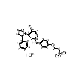 CCN(CC)CCOc1ccc(Nc2ncc(F)c(N3OCCC3c3ccccc3)n2)cc1.Cl